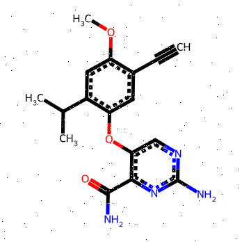 C#Cc1cc(Oc2cnc(N)nc2C(N)=O)c(C(C)C)cc1OC